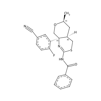 C[C@H]1C[C@H]2CSC(NC(=O)c3ccccc3)=N[C@@]2(c2cc(C#N)ccc2F)CO1